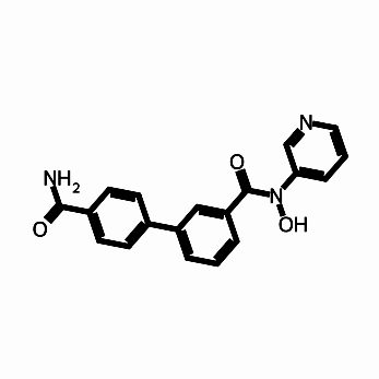 NC(=O)c1ccc(-c2cccc(C(=O)N(O)c3cccnc3)c2)cc1